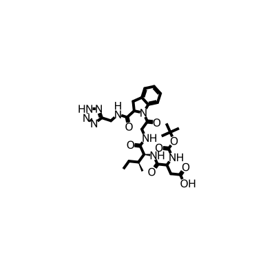 CC[C@H](C)[C@H](NC(=O)C(CC(=O)O)NC(=O)OC(C)(C)C)C(=O)NCC(=O)N1c2ccccc2CC1C(=O)NCc1nn[nH]n1